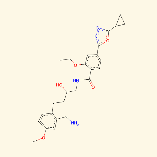 CCOc1cc(-c2nnc(C3CC3)o2)ccc1C(=O)NC[C@@H](O)CCc1ccc(OC)cc1CN